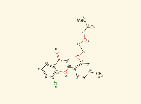 COC(=O)COCCOc1cc(C(F)(F)F)ccc1-c1cc(=O)c2cccc(Cl)c2o1